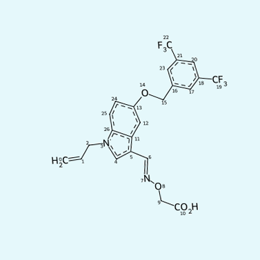 C=CCn1cc(/C=N/OCC(=O)O)c2cc(OCc3cc(C(F)(F)F)cc(C(F)(F)F)c3)ccc21